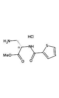 COC(=O)[C@H](CN)NC(=O)c1cccs1.Cl